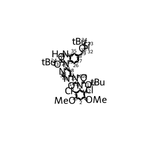 COc1cc(OC)c(Cl)c(N(C(=O)OC(C)(C)C)C(=O)N(C)c2cc(N(C(=O)OC(C)(C)C)c3ccc(CO[Si](C)(C)C(C)(C)C)cc3N)ncn2)c1Cl